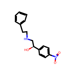 O=[N+]([O-])c1ccc([C@@H](O)CNCCc2ccccc2)cc1